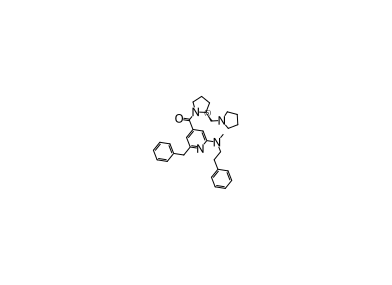 CN(CCc1ccccc1)c1cc(C(=O)N2CCC[C@H]2CN2CCCC2)cc(Cc2ccccc2)n1